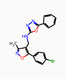 Cc1noc(-c2ccc(Br)cc2)c1CNc1nnc(-c2ccccc2)o1